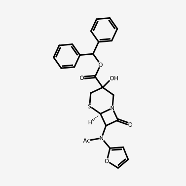 CC(=O)N(c1ccco1)C1C(=O)N2CC(O)(C(=O)OC(c3ccccc3)c3ccccc3)CS[C@H]12